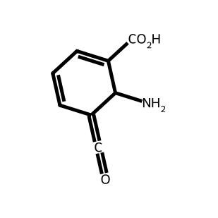 NC1C(=C=O)C=CC=C1C(=O)O